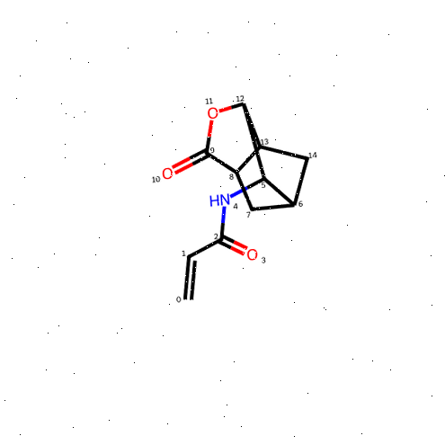 C=CC(=O)NC1C2CC3C(=O)OC1C3C2